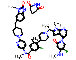 CNc1cc(=O)n(-c2ccnc3c2cc([C@H](C)N2CC=C(c4c(C)cc(C(=O)N(C)c5ccc(N6CCC(Cc7ccc8c(c7)n(C)c(=O)n8[C@H]7CCC(=O)NC7=O)CC6)nc5)cc4F)CC2)n3C)cc1F